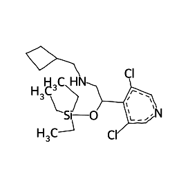 CC[Si](CC)(CC)OC(CNCC1CCC1)c1c(Cl)cncc1Cl